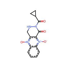 O=C1c2c([n+]([O-])c3ccccc3[n+]2[O-])CNN1C(=O)C1CC1